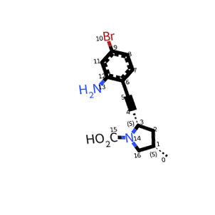 C[C@H]1C[C@@H](C#Cc2ccc(Br)cc2N)N(C(=O)O)C1